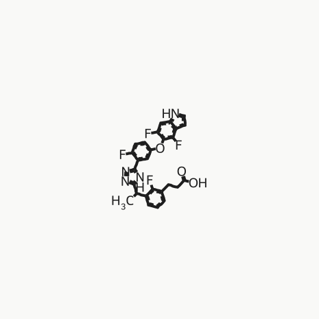 CC(c1nnc(-c2cc(Oc3c(F)cc4[nH]ccc4c3F)ccc2F)[nH]1)c1cccc(CCC(=O)O)c1F